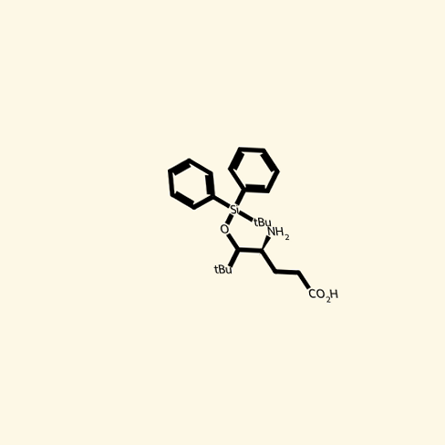 CC(C)(C)C(O[Si](c1ccccc1)(c1ccccc1)C(C)(C)C)[C@@H](N)CCC(=O)O